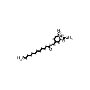 CCCCCCCCCCCC(=O)OCC1CC[N+](C)(OC(C)=O)CC1